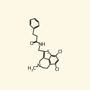 CN1CCc2c(Cl)cc(Cl)c3sc(CNC(=O)CCc4ccccc4)c(c23)C1